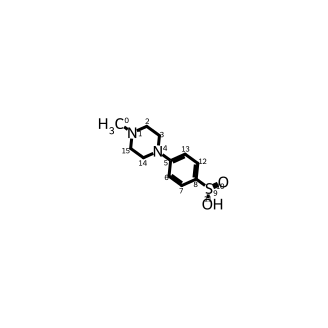 CN1CCN(c2ccc(S(=O)O)cc2)CC1